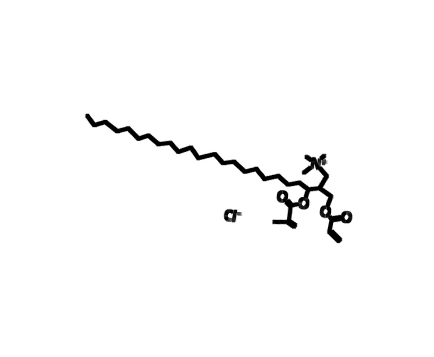 C=CC(=O)OCC(C[N+](C)(C)C)C(CCCCCCCCCCCCCCCCCCCCC)OC(=O)C(=C)C.[Cl-]